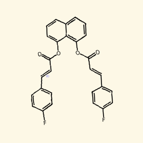 O=C(C=Cc1ccc(F)cc1)Oc1cccc2cccc(OC(=O)/C=C/c3ccc(F)cc3)c12